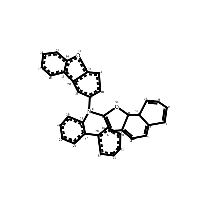 C1=CC2=CC=C3N=C(N(c4ccc5oc6ccccc6c5c4)c4ccccc4-c4ccccc4)OC3C2C=C1